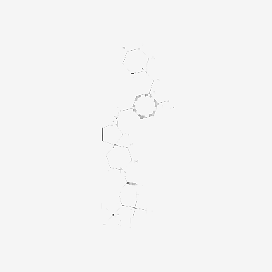 O=C(OC(C(F)(F)F)C(F)(F)F)N1CCC2(CCN(Cc3ccc(Cl)c(CN4CCCCC4)c3)C2)CC1